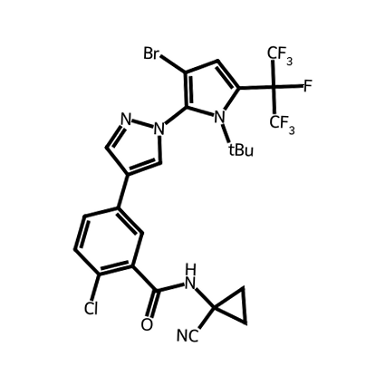 CC(C)(C)n1c(C(F)(C(F)(F)F)C(F)(F)F)cc(Br)c1-n1cc(-c2ccc(Cl)c(C(=O)NC3(C#N)CC3)c2)cn1